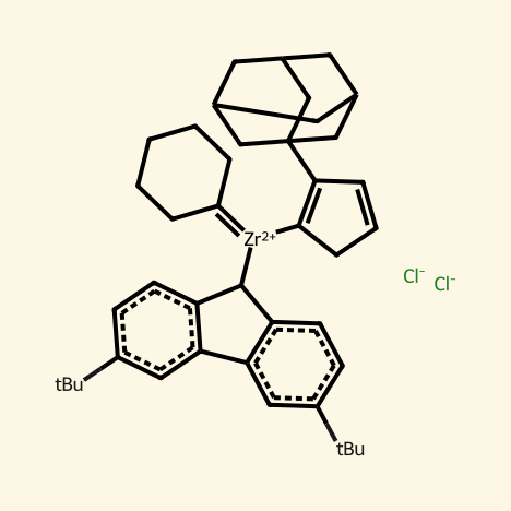 CC(C)(C)c1ccc2c(c1)-c1cc(C(C)(C)C)ccc1[CH]2[Zr+2]([C]1=C(C23CC4CC(CC(C4)C2)C3)C=CC1)=[C]1CCCCC1.[Cl-].[Cl-]